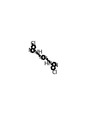 Clc1ccc2c(NCCCN3CCN(CCCNc4ccnc5cc(Cl)ccc45)CC3)ccnc2c1